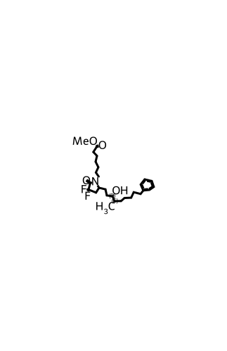 COC(=O)CCCCCCN1C(=O)C(F)(F)CC1CC[C@@H](O)[C@@H](C)CCCCCc1ccccc1